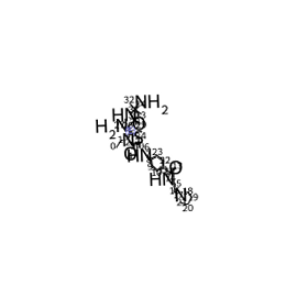 CCN1C(=O)[C@@H](CNc2ccc(C(=O)NCCN3CCCC3)cc2)S/C1=C(/N)C(=O)NC(C)(C)N